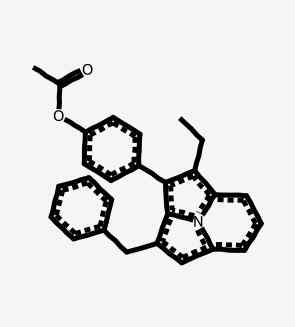 CCc1c(-c2ccc(OC(C)=O)cc2)c2c(Cc3ccccc3)cc3cccc1n32